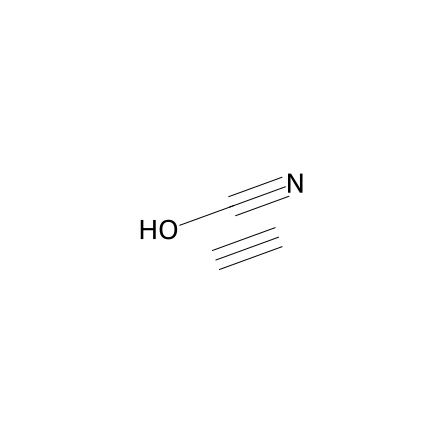 C#C.N#CO